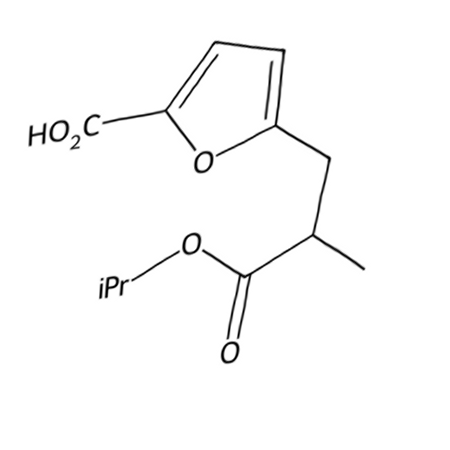 CC(C)OC(=O)C(C)Cc1ccc(C(=O)O)o1